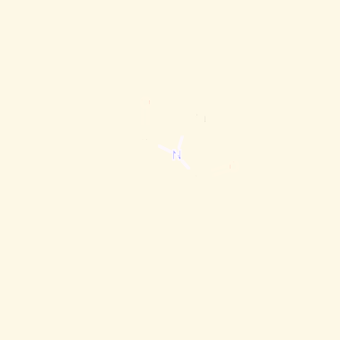 CC(C)(C)N1C(=O)CCCCCCC1=O